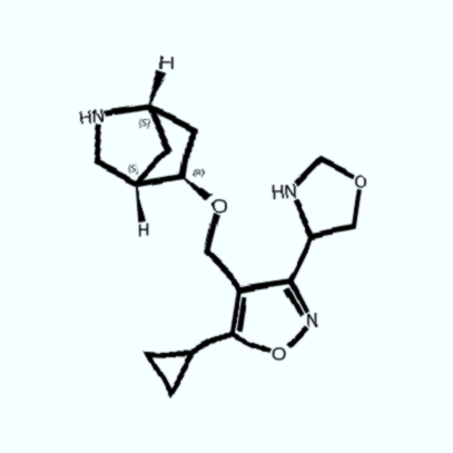 C1NC(c2noc(C3CC3)c2CO[C@@H]2C[C@@H]3C[C@H]2CN3)CO1